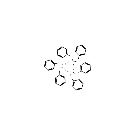 c1ccc(O[PH]2(Oc3ccccc3)N[PH](Oc3ccccc3)(Oc3ccccc3)N[PH](Oc3ccccc3)(Oc3ccccc3)N2)cc1